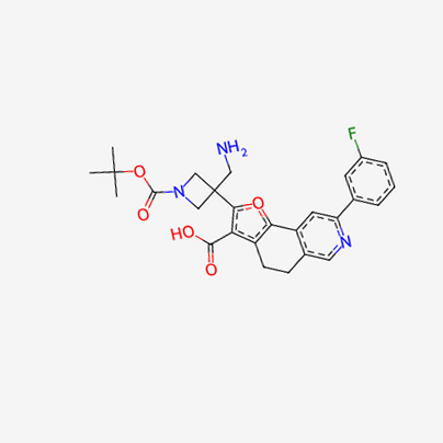 CC(C)(C)OC(=O)N1CC(CN)(c2oc3c(c2C(=O)O)CCc2cnc(-c4cccc(F)c4)cc2-3)C1